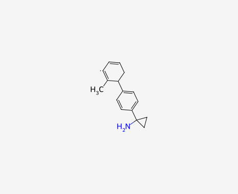 CC1=[C]C=CCC1c1ccc(C2(N)CC2)cc1